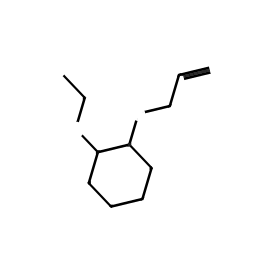 C=CCOC1CCCCC1OCC